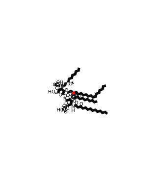 CCCCCC/C=C\CCCCCCCCCC(=O)O[C@H]1[C@H](OC[C@H]2O[C@H](OP(=O)(O)O)[C@@H](NC(=O)CC(=O)CCCCCCCCCCC)[C@@H](OCCCCCCCCCC)[C@@H]2OP(=O)(O)O)O[C@H](CO)[C@@H](OP(=O)(O)O)[C@@H]1OCC[C@H](CCCCCCC)OC